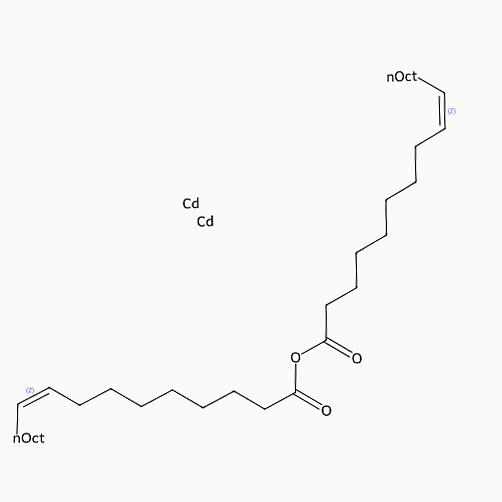 CCCCCCCC/C=C\CCCCCCCC(=O)OC(=O)CCCCCCC/C=C\CCCCCCCC.[Cd].[Cd]